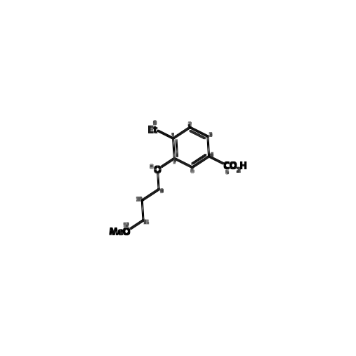 CCc1ccc(C(=O)O)cc1OCCCOC